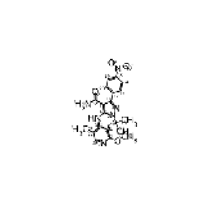 COc1cc(Nc2c(C(N)=O)c(-c3ccc([N+](=O)[O-])cc3)nn2C(C)(C)C)c(C)cn1